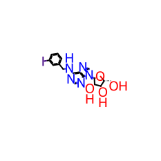 OC[C@H]1OC(n2cnc3c(NCc4cccc(I)c4)ncnc32)[C@H](O)[C@@H]1O